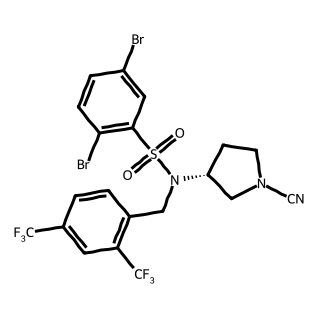 N#CN1CC[C@@H](N(Cc2ccc(C(F)(F)F)cc2C(F)(F)F)S(=O)(=O)c2cc(Br)ccc2Br)C1